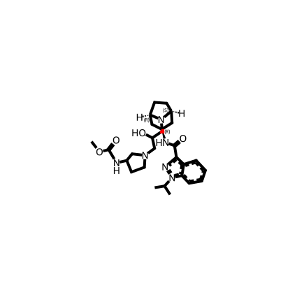 COC(=O)NC1CCN(CC(O)CN2[C@@H]3CC[C@H]2C[C@@H](NC(=O)c2nn(C(C)C)c4ccccc24)C3)C1